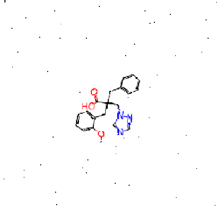 COc1ccccc1CC(Cc1ccccc1)(Cn1cncn1)C(=O)O